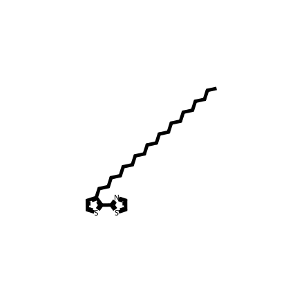 CCCCCCCCCCCCCCCCCCCCc1ccsc1-c1nccs1